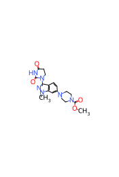 COC(=O)N1CCN(c2ccc3c(N4CCC(=O)NC4=O)nn(C)c3c2)CC1